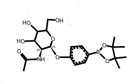 CC(=O)N[C@H]1C(O)C(O)C(CO)O[C@H]1Oc1ccc(B2OC(C)(C)C(C)(C)O2)cc1